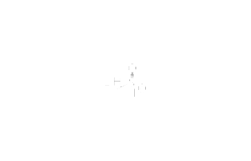 [CH2][SH](=O)=O.[LiH]